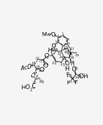 COc1ccc2c3c1O[C@H]1C(OC(=O)CC(OC(C)=O)C(=O)OC(C)C(=O)O)=CC[C@@]4(O)[C@@H](C2)N(C)CC[C@]314.O=C(O)C(F)(F)F